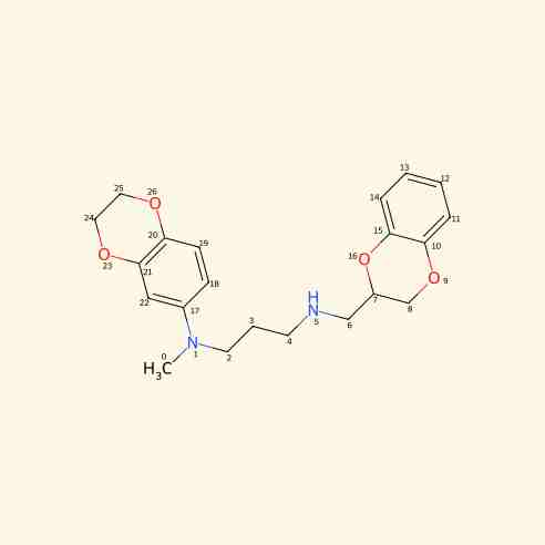 CN(CCCNCC1COc2ccccc2O1)c1ccc2c(c1)OCCO2